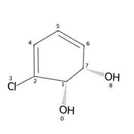 O[C@@H]1C(Cl)=CC=C[C@@H]1O